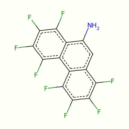 Nc1cc2c(F)c(F)c(F)c(F)c2c2c(F)c(F)c(F)c(F)c12